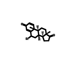 CCC1C[C@@H]2[C@H](CC[C@]3(C)C(=O)CC[C@@H]23)[C@@]2(C)C=CC(=O)C=C12